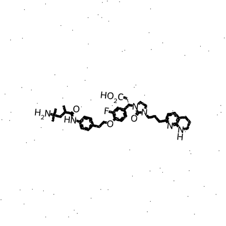 CC(CC(C)(C)N)C(=O)Nc1ccc(CCOc2ccc([C@H](CC(=O)O)N3CCN(CCCc4ccc5c(n4)NCCC5)C3=O)cc2F)cc1